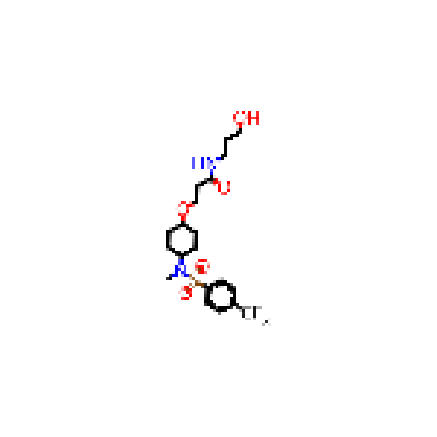 CN(C1CCC(OCCC(=O)NCCCO)CC1)S(=O)(=O)c1ccc(C(F)(F)F)cc1